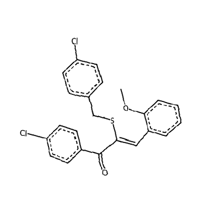 COc1ccccc1C=C(SCc1ccc(Cl)cc1)C(=O)c1ccc(Cl)cc1